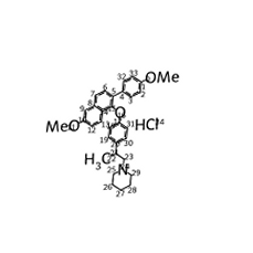 COc1ccc(-c2ccc3cc(OC)ccc3c2Oc2ccc(C(C)CN3CCCCC3)cc2)cc1.Cl